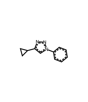 c1ccc(-n2cc(C3CC3)nn2)cc1